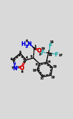 NC(=O)C(c1ccno1)c1ccccc1C(F)(F)F